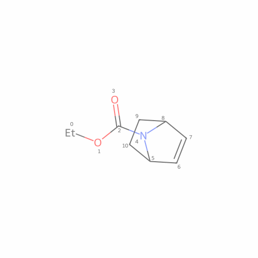 CCOC(=O)N1C2C=CC1CC2